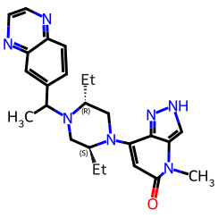 CC[C@H]1CN(C(C)c2ccc3nccnc3c2)[C@H](CC)CN1c1cc(=O)n(C)c2c[nH]nc12